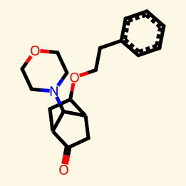 O=C1CC2C(OCCc3ccccc3)CC1C2N1CCOCC1